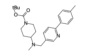 Cc1ccc(-c2ccc(CN(C)C3CCN(C(=O)OC(C)(C)C)CC3)cn2)cc1